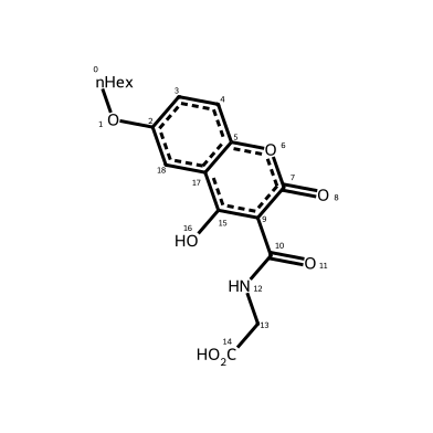 CCCCCCOc1ccc2oc(=O)c(C(=O)NCC(=O)O)c(O)c2c1